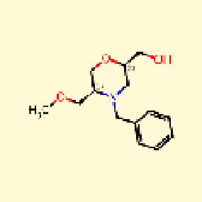 COC[C@H]1CO[C@@H](CO)CN1Cc1ccccc1